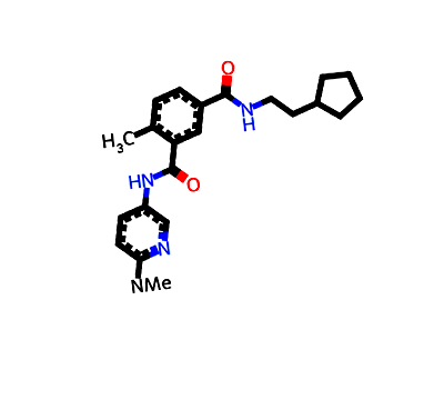 CNc1ccc(NC(=O)c2cc(C(=O)NCCC3CCCC3)ccc2C)cn1